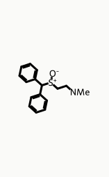 CNCC[S+]([O-])C(c1ccccc1)c1ccccc1